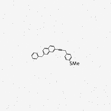 CSc1ccc(CC#Cc2ccc3ccc(Cc4ccccc4)cc3c2)cc1